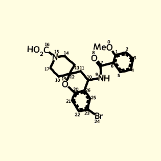 COc1ccccc1C(=O)NC1CC2(CCN(C(=O)O)CC2)Oc2ccc(Br)cc21